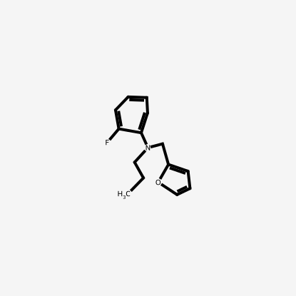 CCCN(Cc1ccco1)c1ccccc1F